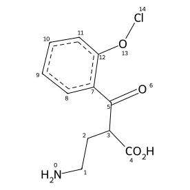 NCCC(C(=O)O)C(=O)c1ccccc1OCl